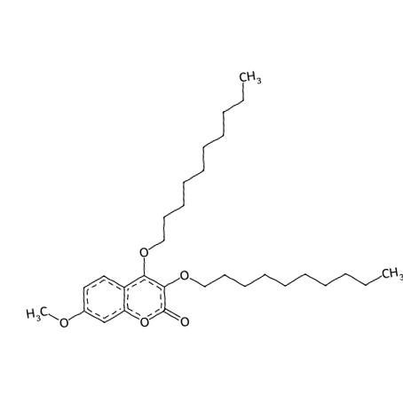 CCCCCCCCCCOc1c(OCCCCCCCCCC)c2ccc(OC)cc2oc1=O